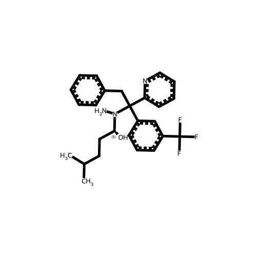 CC(C)CC[C@H](O)N(N)C(Cc1ccccc1)(c1cccc(C(F)(F)F)c1)c1ccccn1